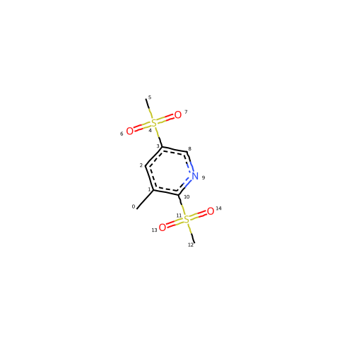 Cc1cc(S(C)(=O)=O)cnc1S(C)(=O)=O